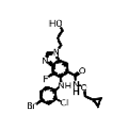 O=C(NOCC1CC1)c1cc2c(ncn2CCCO)c(F)c1Nc1ccc(Br)cc1Cl